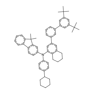 CC(C)(C)c1cc(-c2cccc(-c3cc4c(c(N(c5ccc(C6CCCCC6)cc5)c5ccc6c(c5)C(C)(C)c5ccccc5-6)c3)CCCC4)c2)cc(C(C)(C)C)c1